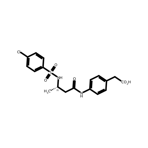 C[C@@H](CC(=O)Nc1ccc(CC(=O)O)cc1)NS(=O)(=O)c1ccc(Cl)cc1